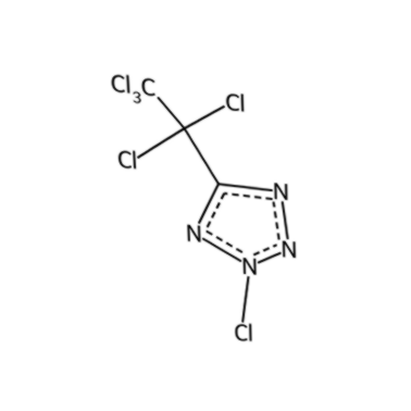 Cln1nnc(C(Cl)(Cl)C(Cl)(Cl)Cl)n1